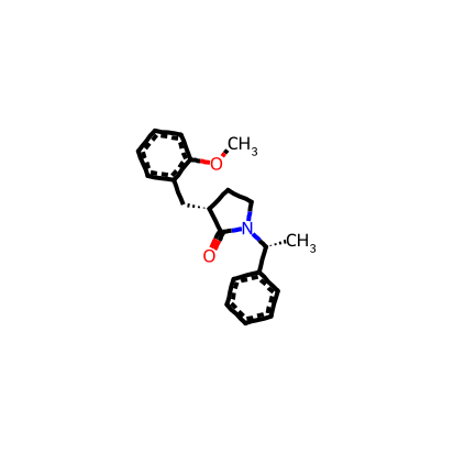 COc1ccccc1C[C@@H]1CCN([C@H](C)c2ccccc2)C1=O